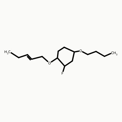 CCC=CCOC1CCC(OCCCC)CC1F